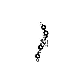 O=C(N[C@@H](Cc1ccc(OCc2ccc(Cl)cc2)cc1)C(=O)O)c1cc2ccc(-c3ccc(Cl)cc3)cc2o1